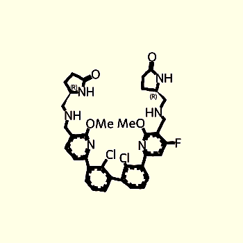 COc1nc(-c2cccc(-c3cccc(-c4cc(F)c(CNC[C@H]5CCC(=O)N5)c(OC)n4)c3Cl)c2Cl)ccc1CNC[C@H]1CCC(=O)N1